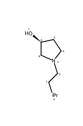 CC(C)CCN1CC[C@H](O)C1